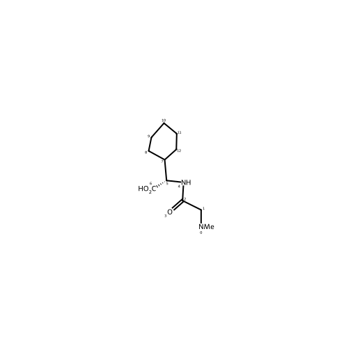 CNCC(=O)N[C@H](C(=O)O)C1CCCCC1